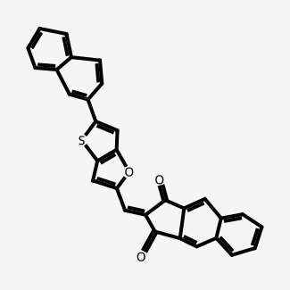 O=C1C(=Cc2cc3sc(-c4ccc5ccccc5c4)cc3o2)C(=O)c2cc3ccccc3cc21